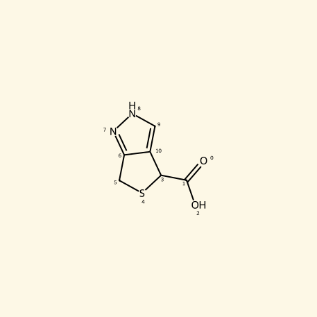 O=C(O)C1SCc2n[nH]cc21